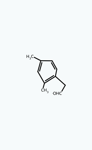 Cc1ccc(C[C]=O)c(C)c1